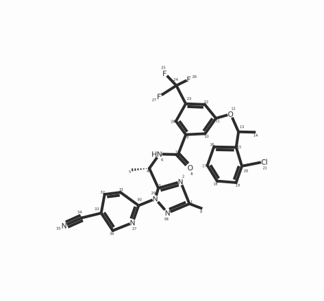 Cc1nc([C@H](C)NC(=O)c2cc(OC(C)c3ccccc3Cl)cc(C(F)(F)F)c2)n(-c2ccc(C#N)cn2)n1